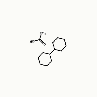 C1CCC(C2CCCCC2)CC1.NC(=O)O